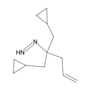 C=CCC(CC1CC1)(CC1CC1)N=N